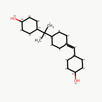 CC(C)(C1CCC(=CC2CCC(O)CC2)CC1)C1CCC(O)CC1